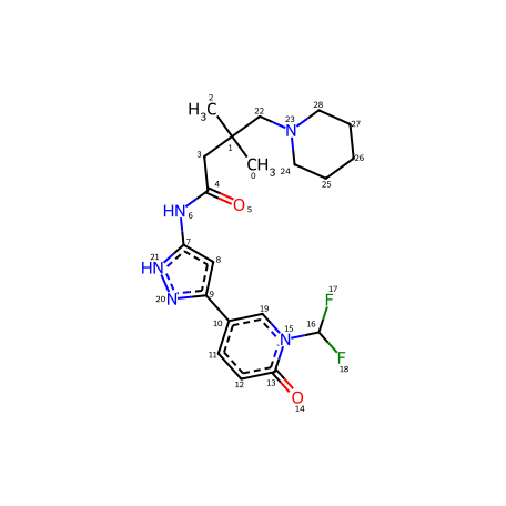 CC(C)(CC(=O)Nc1cc(-c2ccc(=O)n(C(F)F)c2)n[nH]1)CN1CCCCC1